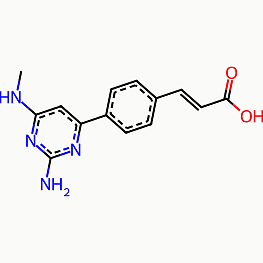 CNc1cc(-c2ccc(/C=C/C(=O)O)cc2)nc(N)n1